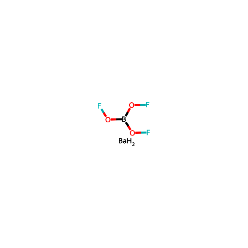 FOB(OF)OF.[BaH2]